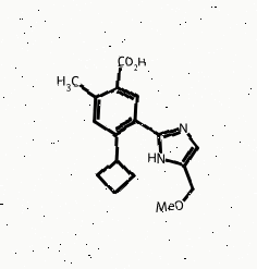 COCc1cnc(-c2cc(C(=O)O)c(C)cc2C2CCC2)[nH]1